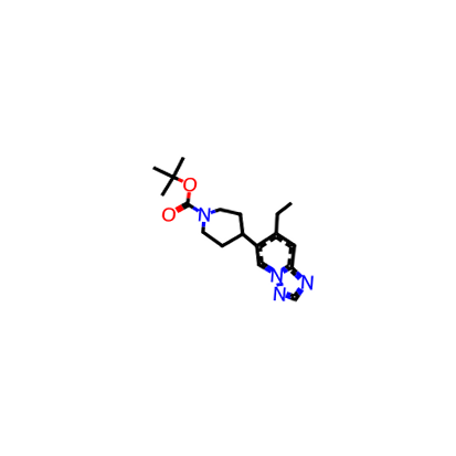 CCc1cc2ncnn2cc1C1CCN(C(=O)OC(C)(C)C)CC1